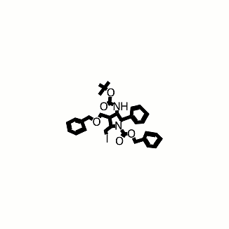 CC(C)(C)OC(=O)NC1C(COCc2ccccc2)C(CI)N(C(=O)OCc2ccccc2)C1c1ccccc1